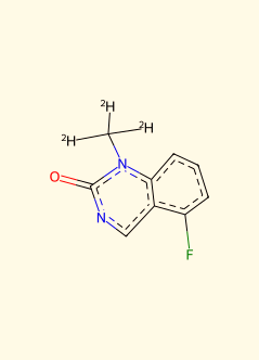 [2H]C([2H])([2H])n1c(=O)ncc2c(F)cccc21